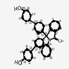 O=C1c2ccccc2C(c2ccc(-c3ccc(O)cc3)cc2)(c2ccc(-c3ccc(O)cc3)cc2)N1c1ccccc1